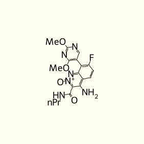 CCCNC(=O)c1c(N)c2ccc(F)c(-c3cnc(OC)nc3OC)c2n[n+]1[O-]